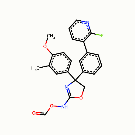 COc1ccc(C2(c3cccc(-c4cccnc4F)c3)COC(NOC=O)=N2)cc1C